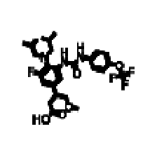 COCC(CC(=O)O)c1cc(F)c(N(CC(C)C)CC(C)C)c(NC(=O)Nc2ccc(OC(F)(F)F)cc2)c1